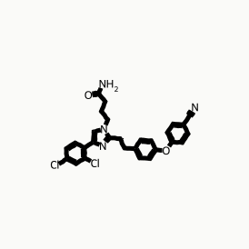 N#Cc1ccc(Oc2ccc(C[CH]c3nc(-c4ccc(Cl)cc4Cl)cn3CCCC(N)=O)cc2)cc1